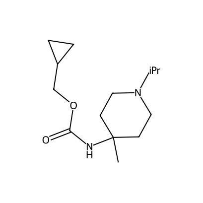 CC(C)N1CCC(C)(NC(=O)OCC2CC2)CC1